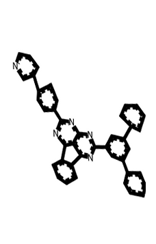 c1ccc(-c2cc(-c3ccccc3)cc(-c3nc4c5c(nc(-c6ccc(-c7cccnc7)cc6)nc5n3)-c3ccccc3-4)c2)cc1